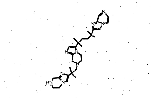 CC(C)(CN1CCn2c(C(C)(C)CCC(C)(C)c3cn4ccncc4n3)cnc2C1)c1cn2c(n1)CNCC2